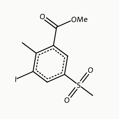 COC(=O)c1cc(S(C)(=O)=O)cc(I)c1C